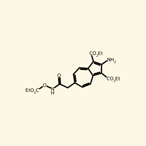 CCOC(=O)ONC(=O)Cc1ccc2c(C(=O)OCC)c(N)c(C(=O)OCC)c-2cc1